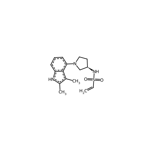 C=CS(=O)(=O)N[C@@H]1CCN(c2cccc3[nH]c(C)c(C)c23)C1